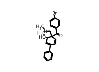 CN(C)CC1(C(=O)c2ccc(Br)cc2)C=CC(c2ccccc2)=CC1O